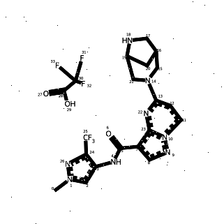 Cn1cc(NC(=O)c2cnn3ccc(N4CC5CNC(C5)C4)nc23)c(C(F)(F)F)n1.O=C(O)C(F)(F)F